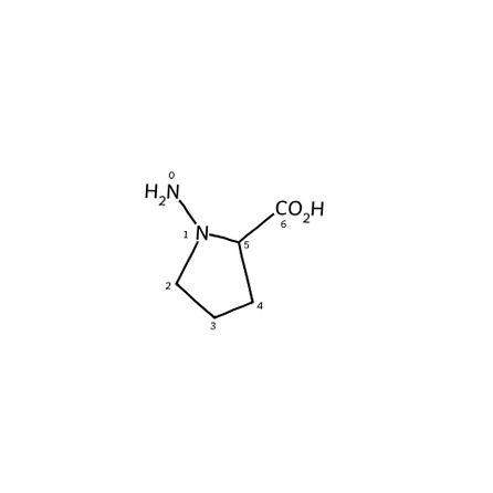 NN1CCCC1C(=O)O